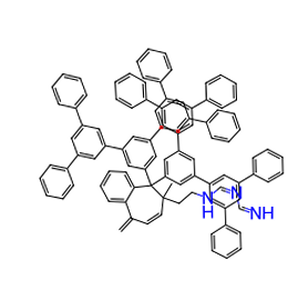 C=C1C=CC(C)(CCN/C=N\C=N)C(c2cc(-c3cc(-c4ccccc4)cc(-c4ccccc4)c3)cc(-c3cc(-c4ccccc4)cc(-c4ccccc4)c3)c2)(c2cc(-c3cc(-c4ccccc4)cc(-c4ccccc4)c3)cc(-c3cc(-c4ccccc4)cc(-c4ccccc4)c3)c2)c2ccccc21